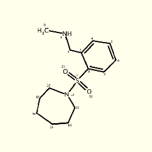 CNCc1ccccc1S(=O)(=O)N1CCCCCC1